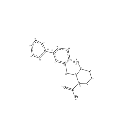 CC(C)C(=O)N1CCCC(N)C1Cc1cccc(-c2ccccc2)c1